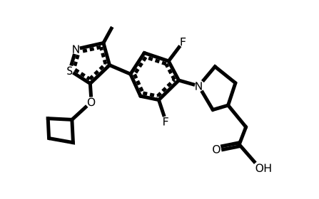 Cc1nsc(OC2CCC2)c1-c1cc(F)c(N2CCC(CC(=O)O)C2)c(F)c1